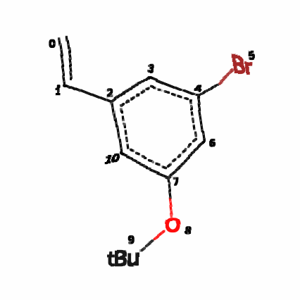 C=[C]c1cc(Br)cc(OC(C)(C)C)c1